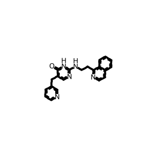 O=c1[nH]c(NCCc2nccc3ccccc23)ncc1Cc1cccnc1